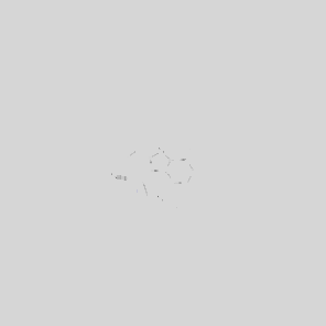 CCOC(=O)c1c(/C(C#N)=C\N)c2ccc(Cl)c(Cl)c2n1C